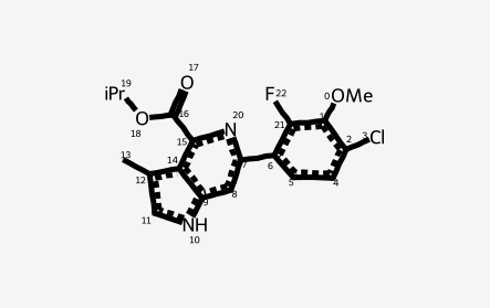 COc1c(Cl)ccc(-c2cc3[nH]cc(C)c3c(C(=O)OC(C)C)n2)c1F